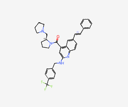 O=C(c1cc(NCc2ccc(C(F)(F)F)cc2)nc2ccc(/C=C/c3ccccc3)cc12)N1CCC[C@H]1CN1CCCC1